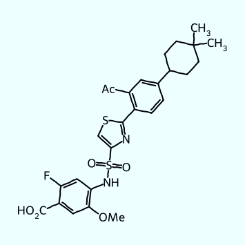 COc1cc(C(=O)O)c(F)cc1NS(=O)(=O)c1csc(-c2ccc(C3CCC(C)(C)CC3)cc2C(C)=O)n1